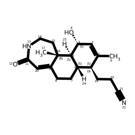 CC1=C[C@@H](O)[C@H]2[C@@H](CCC3=CC(=O)NCC[C@@]32C)[C@@H]1CCC#N